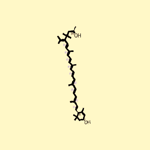 CC1=C[C@H](O)CC(C)(C)[C@H]1/C=C/C(C)=C/C=C/C(C)=C/C=C/C=C(C)/C=C/C=C(C)/C=C/C(=C(C)C)C(C)(C)C[C@@H](C)O